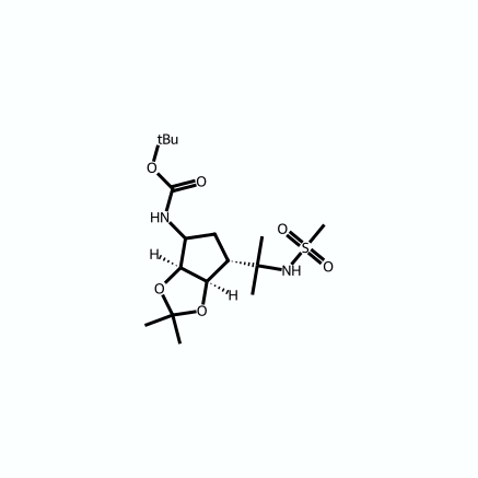 CC(C)(C)OC(=O)NC1C[C@H](C(C)(C)NS(C)(=O)=O)[C@H]2OC(C)(C)O[C@@H]12